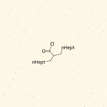 CCCCCCCCC(CCCCCCCC)C(=O)Cl